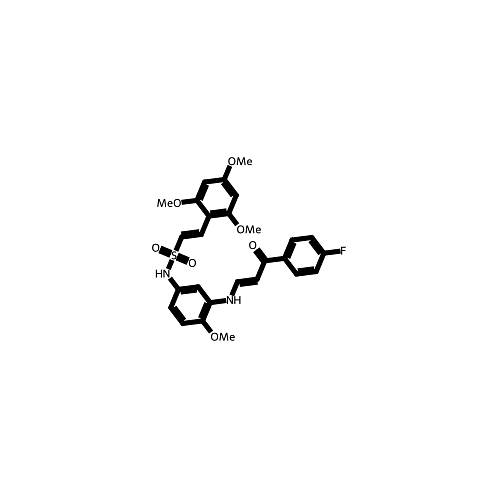 COc1cc(OC)c(C=CS(=O)(=O)Nc2ccc(OC)c(NC=CC(=O)c3ccc(F)cc3)c2)c(OC)c1